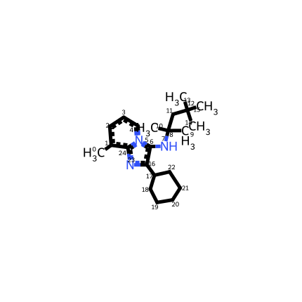 Cc1cccn2c(NC(C)(C)CC(C)(C)C)c(C3CCCCC3)nc12